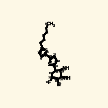 CCCCCCc1ccc(-c2ccc(C3CC(F)=C(Br)C(=N)C3=N)s2)s1